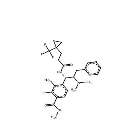 CNC(=O)c1ccc([C@H](NC(=O)CCC2(C(F)(F)F)CC2)C(Cc2cccnc2)N(C)C)c(C)c1F